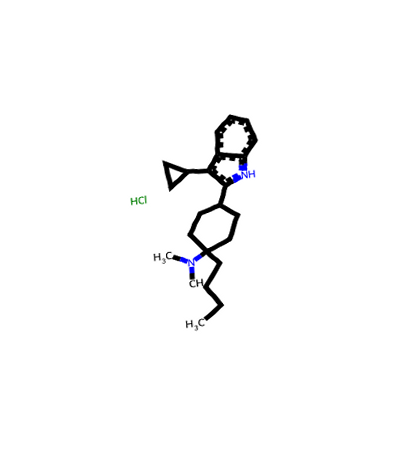 CCCCC1(N(C)C)CCC(c2[nH]c3ccccc3c2C2CC2)CC1.Cl